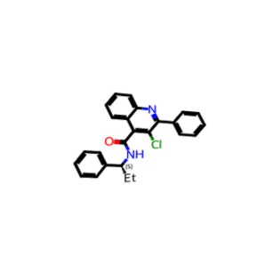 CC[C@H](NC(=O)c1c(Cl)c(-c2ccccc2)nc2ccccc12)c1ccccc1